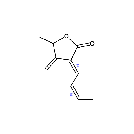 C=C1/C(=C\C=C/C)C(=O)OC1C